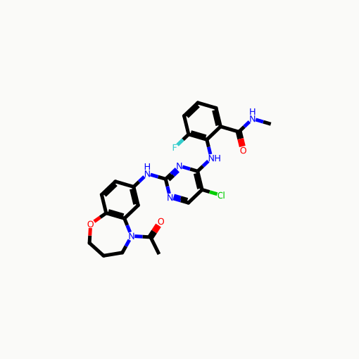 CNC(=O)c1cccc(F)c1Nc1nc(Nc2ccc3c(c2)N(C(C)=O)CCCO3)ncc1Cl